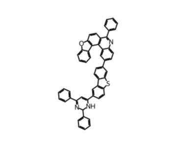 C1=C(c2ccc3sc4cc(-c5ccc6nc(-c7ccccc7)c7ccc8oc9ccccc9c8c7c6c5)ccc4c3c2)NC(c2ccccc2)N=C1c1ccccc1